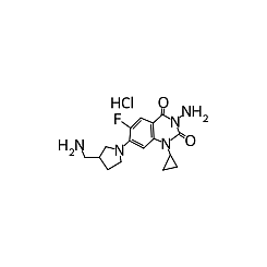 Cl.NCC1CCN(c2cc3c(cc2F)c(=O)n(N)c(=O)n3C2CC2)C1